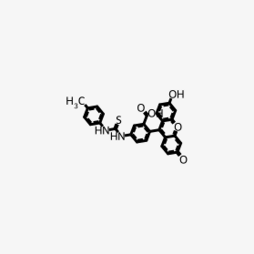 Cc1ccc(NC(=S)Nc2ccc(-c3c4ccc(=O)cc-4oc4cc(O)ccc34)c(C(=O)O)c2)cc1